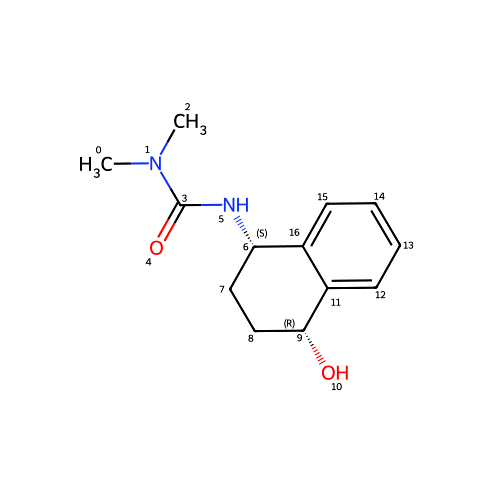 CN(C)C(=O)N[C@H]1CC[C@@H](O)c2ccccc21